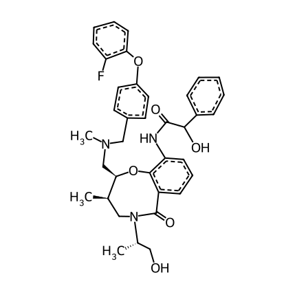 C[C@@H]1CN([C@@H](C)CO)C(=O)c2cccc(NC(=O)C(O)c3ccccc3)c2O[C@@H]1CN(C)Cc1ccc(Oc2ccccc2F)cc1